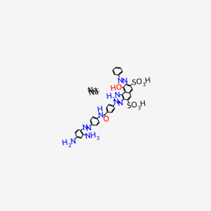 Nc1ccc(N=Nc2ccc(NC(=O)c3ccc(N=Nc4c(S(=O)(=O)O)cc5cc(S(=O)(=O)O)c(N=Nc6ccccc6)c(O)c5c4N)cc3)cc2)c(N)c1.[Na].[Na]